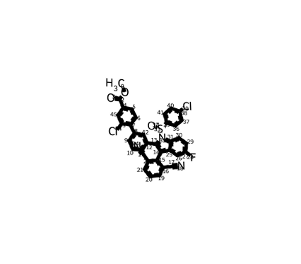 COC(=O)c1ccc(-c2cccc(-c3c(-c4c(C#N)cccc4C#N)c4cc(F)ccc4n3[S+]([O-])c3ccc(Cl)cc3)c2)c(Cl)c1